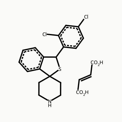 Clc1ccc(C2SC3(CCNCC3)c3ccccc32)c(Cl)c1.O=C(O)C=CC(=O)O